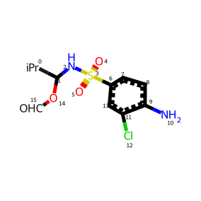 CC(C)C(NS(=O)(=O)c1ccc(N)c(Cl)c1)OC=O